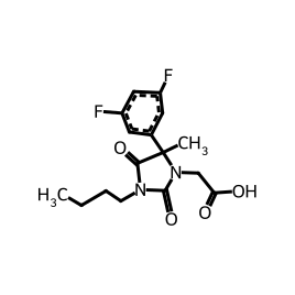 CCCCN1C(=O)N(CC(=O)O)C(C)(c2cc(F)cc(F)c2)C1=O